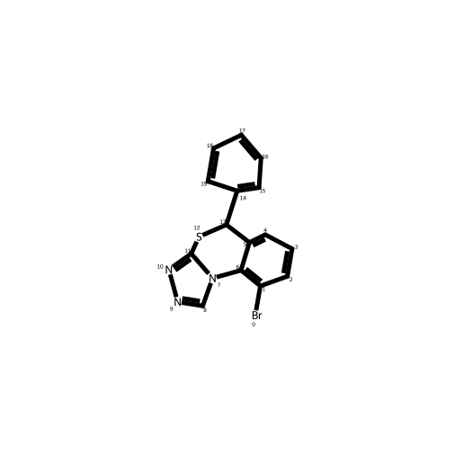 Brc1cccc2c1-n1cnnc1SC2c1ccccc1